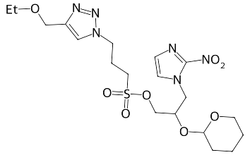 CCOCc1cn(CCCS(=O)(=O)OCC(Cn2ccnc2[N+](=O)[O-])OC2CCCCO2)nn1